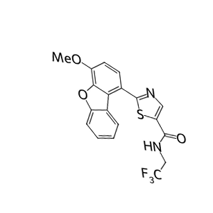 COc1ccc(-c2ncc(C(=O)NCC(F)(F)F)s2)c2c1oc1ccccc12